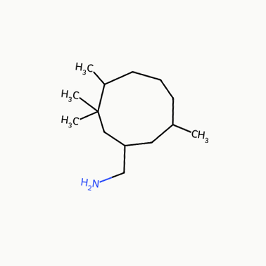 CC1CCCC(C)C(C)(C)CC(CN)C1